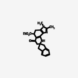 CCOC(=O)C1Cc2c(nc(C)n2C)C2=C1C(=O)CC1(Cc3ccccc3C1)N2